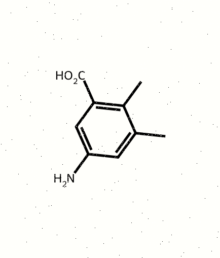 Cc1cc(N)cc(C(=O)O)c1C